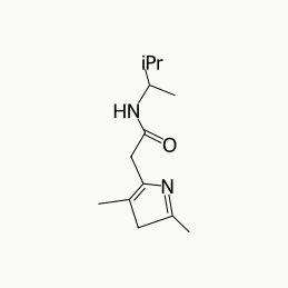 CC1=NC(CC(=O)NC(C)C(C)C)=C(C)C1